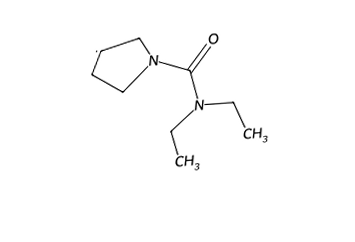 CCN(CC)C(=O)N1C[CH]CC1